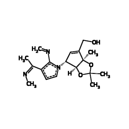 C=Nc1c(/C(C)=N\C)ccn1[C@@H]1C=C(CO)[C@@]2(C)OC(C)(C)O[C@@H]12